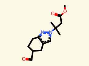 COC(=O)CC(C)(C)n1cc2c(n1)CCC(C=O)C2